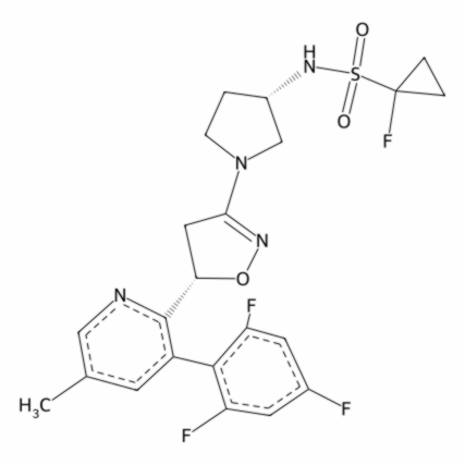 Cc1cnc([C@@H]2CC(N3CC[C@H](NS(=O)(=O)C4(F)CC4)C3)=NO2)c(-c2c(F)cc(F)cc2F)c1